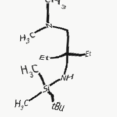 CCC(CC)(CN(C)C)N[Si](C)(C)C(C)(C)C